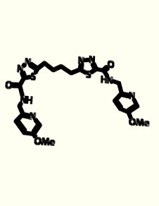 COc1ccc(CNC(=O)c2nnc(CCCCc3nnc(C(=O)NCc4ccc(OC)cn4)s3)s2)nc1